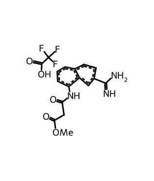 COC(=O)CC(=O)Nc1cccc2ccc(C(=N)N)cc12.O=C(O)C(F)(F)F